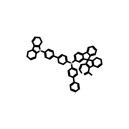 C=C(C)C1=C(/C=C\C)C2(C3=C1C=CCC3)c1ccccc1-c1ccc(N(C3=CC=C(c4ccc(-n5c6c(c7c5CCC=C7)CCC=C6)cc4)CC3)c3ccc(-c4ccccc4)cc3)cc12